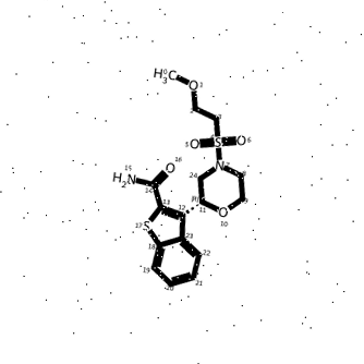 COCCS(=O)(=O)N1CCO[C@H](c2c(C(N)=O)sc3ccccc23)C1